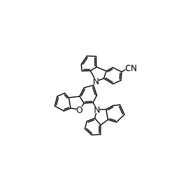 N#Cc1ccc2c(c1)c1ccccc1n2-c1cc(-n2c3ccccc3c3ccccc32)c2oc3ccccc3c2c1